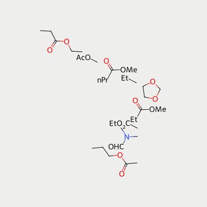 C1COCO1.CCC.CCC(=O)OC.CCCC(=O)OC.CCCOC(C)=O.CCOC(=O)CC.CCOC(C)=O.CN(C)C=O.COC(C)=O